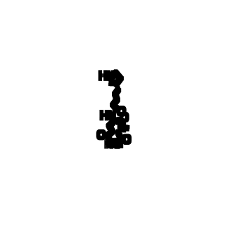 CN(CC(=O)O)C(=O)C(CCC(=O)O)NC(=O)CCCC[C@@H]1CCNS1